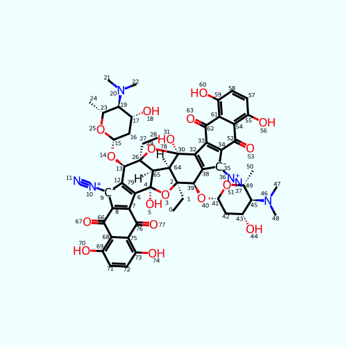 CC[C@@]12O[C@@]3(O)c4c5c([c-]([N+]#N)c4[C@@H](O[C@H]4C[C@@H](O)[C@H](N(C)C)[C@@H](C)O4)[C@@]4(CC)O[C@@](O)(c6c7c([c-]([N+]#N)c6[C@H]1O[C@H]1C[C@@H](O)[C@H](N(C)C)[C@@H](C)O1)C(=O)c1c(O)ccc(O)c1C7=O)[C@@H]2[C@H]43)C(=O)c1c(O)ccc(O)c1C5=O